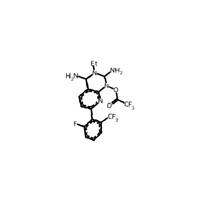 CCN1C(N)c2ccc(-c3c(F)cccc3C(F)(F)F)nc2N(OC(=O)C(F)(F)F)C1N